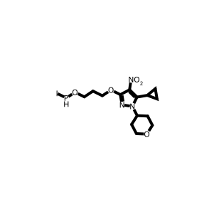 O=[N+]([O-])c1c(OCCCOPI)nn(C2CCOCC2)c1C1CC1